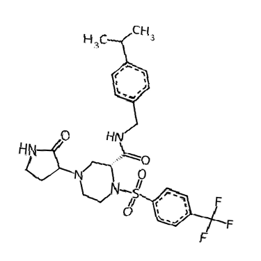 CC(C)c1ccc(CNC(=O)[C@H]2CN(C3CCNC3=O)CCN2S(=O)(=O)c2ccc(C(F)(F)F)cc2)cc1